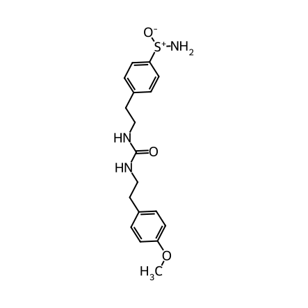 COc1ccc(CCNC(=O)NCCc2ccc([S+](N)[O-])cc2)cc1